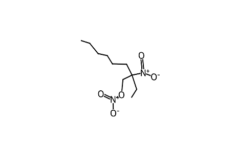 CCCCCCC(CC)(CO[N+](=O)[O-])[N+](=O)[O-]